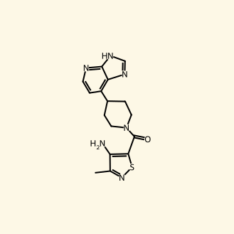 Cc1nsc(C(=O)N2CCC(c3ccnc4[nH]cnc34)CC2)c1N